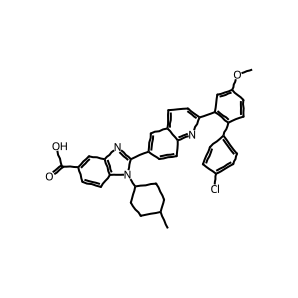 COc1ccc(-c2ccc(Cl)cc2)c(-c2ccc3cc(-c4nc5cc(C(=O)O)ccc5n4C4CCC(C)CC4)ccc3n2)c1